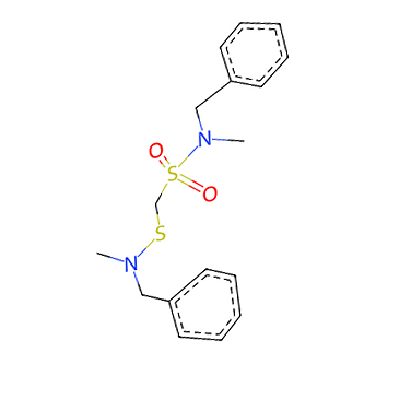 CN(Cc1ccccc1)SCS(=O)(=O)N(C)Cc1ccccc1